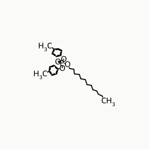 CCCCCCCCCCCCCOP(=O)(Oc1ccc(C)cc1)Oc1ccc(C)cc1